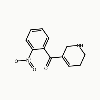 O=C(C1=CCCNC1)c1ccccc1[N+](=O)[O-]